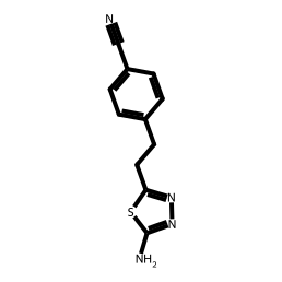 N#Cc1ccc(CCc2nnc(N)s2)cc1